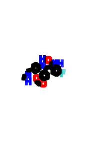 CCNCc1ccc(N/C(=C2\C(=O)Nc3cc(F)ccc32)c2ccc3c(c2)OC=CO3)cc1